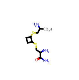 NC(=O)C(N)CSC1CCC1SCC(N)C(=O)O